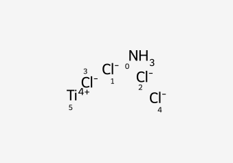 N.[Cl-].[Cl-].[Cl-].[Cl-].[Ti+4]